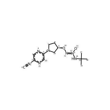 [C-]#[N+]c1cnc(N2CC[C@@H](O/N=[N+](\[O-])NC(C)(C)C)C2)cn1